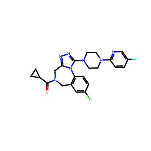 O=C(C1CC1)N1Cc2cc(Cl)ccc2-n2c(nnc2N2CCN(c3ccc(F)cn3)CC2)C1